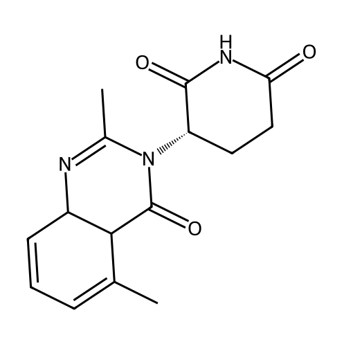 CC1=CC=CC2N=C(C)N([C@H]3CCC(=O)NC3=O)C(=O)C12